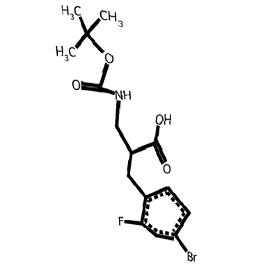 CC(C)(C)OC(=O)NCC(Cc1ccc(Br)cc1F)C(=O)O